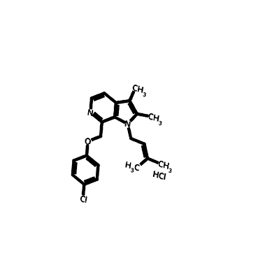 CC(C)=CCn1c(C)c(C)c2ccnc(COc3ccc(Cl)cc3)c21.Cl